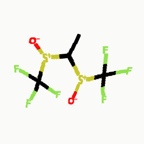 CC([S+]([O-])C(F)(F)F)[S+]([O-])C(F)(F)F